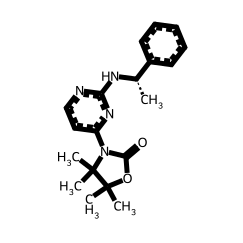 C[C@H](Nc1nccc(N2C(=O)OC(C)(C)C2(C)C)n1)c1ccccc1